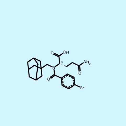 NC(=O)CC[C@@H](C(=O)O)N(CC12CC3CC(CC(C3)C1)C2)C(=O)c1ccc(Br)cc1